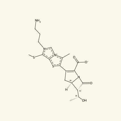 CSc1c2sc(C3=C(C(=O)[O-])N4C(=O)[C@H]([C@@H](C)O)[C@H]4C3)c(C)[n+]2cn1CCCN